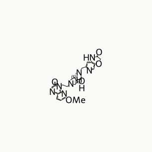 COc1ccc2ncc(=O)n(CCN3C[C@H](CNCc4cc5c(cn4)OCC(=O)N5)[C@H](O)C3)c2n1